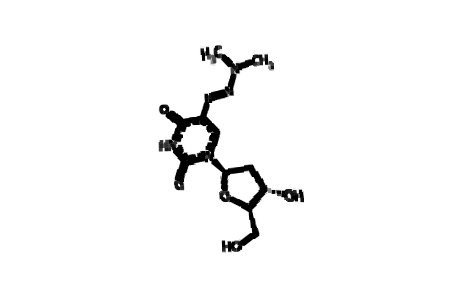 CN(C)N=Nc1cn([C@H]2C[C@H](O)[C@@H](CO)O2)c(=O)[nH]c1=O